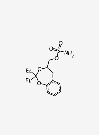 CCC1(CC)Oc2ccccc2CC(COS(N)(=O)=O)O1